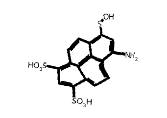 Nc1cc(SO)c2ccc3c(S(=O)(=O)O)cc(S(=O)(=O)O)c4ccc1c2c43